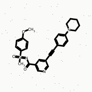 COc1ccc(S(C)(=O)=NC(=O)c2cncc(C#Cc3ccc(N4CCCCC4)cc3)c2)cc1